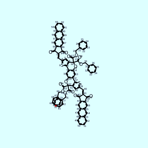 O=C1C(=Cc2cc3c(s2)-c2cc4c(cc2OC3(C(=O)OCc2ccccc2)C(=O)OCc2ccccc2)-c2sc(C=C3C(=O)c5cc6cc7ccccc7cc6cc5C3=O)cc2C(C(=O)OCc2ccccc2)(C(=O)OCc2ccccc2)O4)C(=O)c2cc3cc4ccccc4cc3cc21